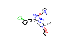 C=CC(=O)N1CCN(C2NC(OCC3CCCN3C)NC3C[C@]4(CCc5c(Cl)cccc5C4)CCC32)CC1CC#N